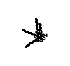 CCCCCCCCOc1c(OCCCCC)c(O)c(C(=O)O)c(OCCCCCCCC)c1OCCCCCCCC